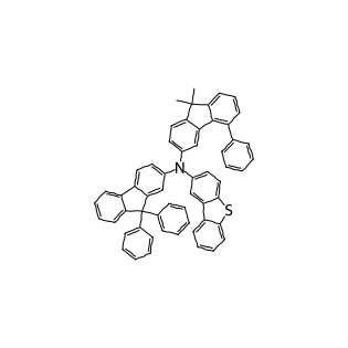 CC1(C)c2ccc(N(c3ccc4c(c3)C(c3ccccc3)(c3ccccc3)c3ccccc3-4)c3ccc4sc5ccccc5c4c3)cc2-c2c(-c3ccccc3)cccc21